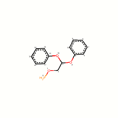 POCC(Oc1ccccc1)Oc1ccccc1